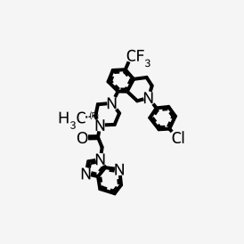 C[C@@H]1CN(c2ccc(C(F)(F)F)c3c2CN(c2ccc(Cl)cc2)CC3)CCN1C(=O)Cn1cnc2cccnc21